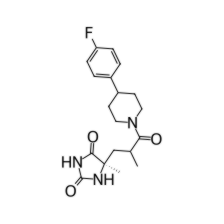 CC(C[C@@]1(C)NC(=O)NC1=O)C(=O)N1CCC(c2ccc(F)cc2)CC1